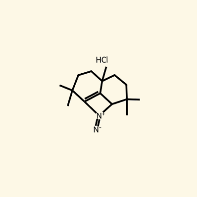 CC1(C)CCC2(C)CCC(C)(C)C3C2=C1[N+]3=[N-].Cl